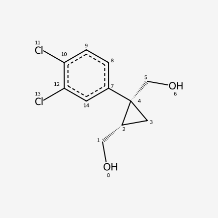 OC[C@H]1C[C@]1(CO)c1ccc(Cl)c(Cl)c1